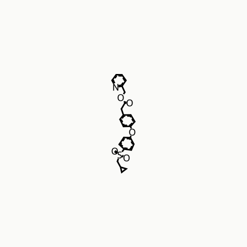 O=C(Cc1ccc(Oc2ccc(S(=O)(=O)CC3CC3)cc2)cc1)OCc1ccccn1